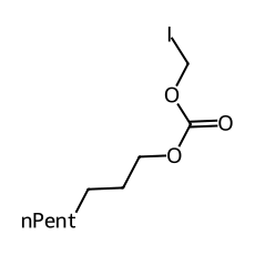 CCCCCCCCOC(=O)OCI